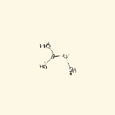 OB(O)OS